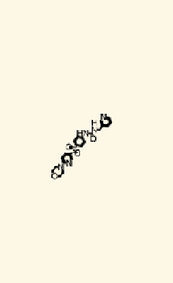 O=C(NCc1cccnc1)Nc1ccc(S(=O)(=O)c2ccc(N3CCOCC3)nc2)cc1